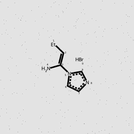 Br.CCC=C(N)n1ccnc1